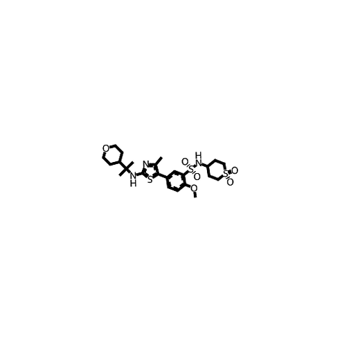 COc1ccc(-c2sc(NC(C)(C)C3CCOCC3)nc2C)cc1S(=O)(=O)NC1CCS(=O)(=O)CC1